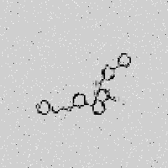 Nc1nc(Nc2ccc(N3CCOCC3)nc2)nc2c(-c3cccc(OCCN4CCOCC4)c3)cccc12